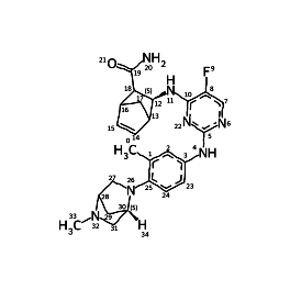 Cc1cc(Nc2ncc(F)c(N[C@H]3C4C=CC(C4)C3C(N)=O)n2)ccc1N1CC2C[C@H]1CN2C